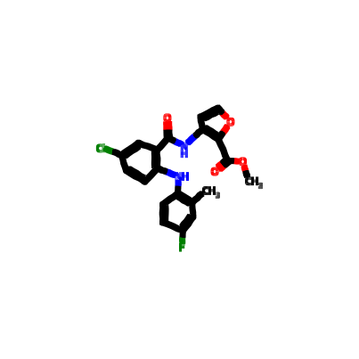 COC(=O)c1occc1NC(=O)c1cc(Cl)ccc1Nc1ccc(F)cc1C